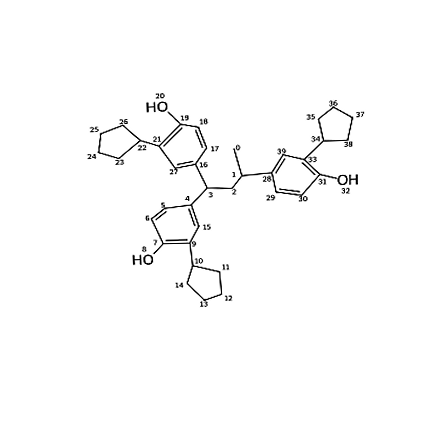 CC(CC(c1ccc(O)c(C2CCCC2)c1)c1ccc(O)c(C2CCCC2)c1)c1ccc(O)c(C2CCCC2)c1